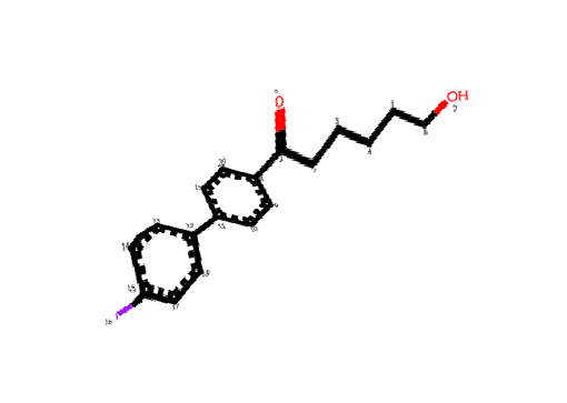 O=C(CCCCCO)c1ccc(-c2ccc(I)cc2)cc1